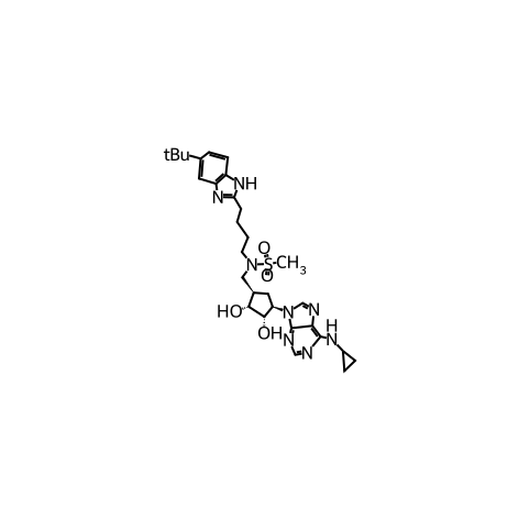 CC(C)(C)c1ccc2[nH]c(CCCCN(C[C@H]3C[C@@H](n4cnc5c(NC6CC6)ncnc54)[C@H](O)[C@@H]3O)S(C)(=O)=O)nc2c1